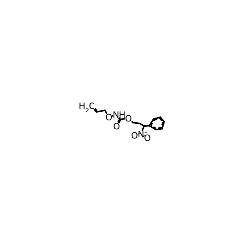 C=CCONC(=O)OCCC(c1ccccc1)[N+](=O)[O-]